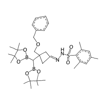 Cc1cc(C)c(S(=O)(=O)NN=C2CC(COCc3ccccc3)(C(B3OC(C)(C)C(C)(C)O3)B3OC(C)(C)C(C)(C)O3)C2)c(C)c1